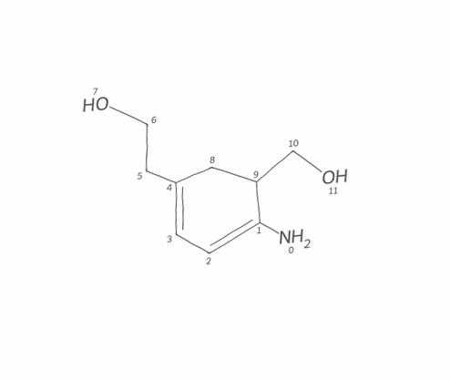 NC1=CC=C(CCO)CC1CO